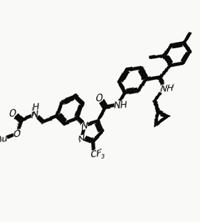 Cc1ccc(C(NCC2CC2)c2cccc(NC(=O)c3cc(C(F)(F)F)nn3-c3cccc(CNC(=O)OC(C)(C)C)c3)c2)c(C)c1